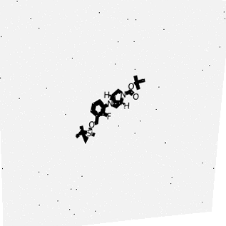 CC(C)(C)OC(=O)N1C[C@@H]2C[C@H]1CN2c1cccc(CO[Si]2(C)CC2(C)C)c1F